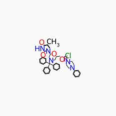 Cc1cn(C2CN(C(c3ccccc3)(c3ccccc3)c3ccccc3)CC(COP(Cl)N3CCN(c4ccccc4)CC3)O2)c(=O)[nH]c1=O